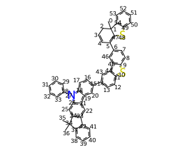 CC12CC=CC(c3ccc4sc5ccc(-c6ccc7c(c6)c6cc8c(cc6n7-c6ccccc6)C(C)(C)c6ccccc6-8)cc5c4c3)=C1Sc1ccccc12